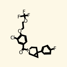 O=C(c1ccc(OCCOC(F)(F)F)c(Cl)c1)N1CCC2(c3ccc(F)cc3)CC2C1